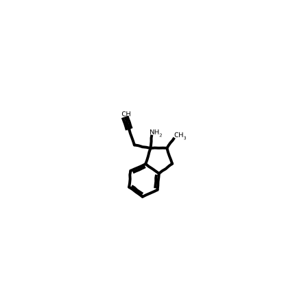 C#CCC1(N)c2ccccc2CC1C